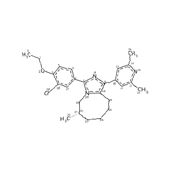 CCOc1ccc(-c2nc(-c3cc(C)nc(C)c3)c3n2C[C@@H](C)CCCC3)cc1Cl